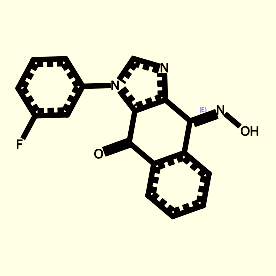 O=C1c2ccccc2/C(=N\O)c2ncn(-c3cccc(F)c3)c21